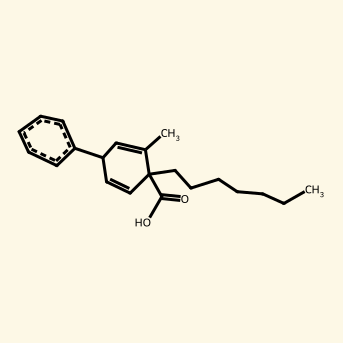 CCCCCCCC1(C(=O)O)C=CC(c2ccccc2)C=C1C